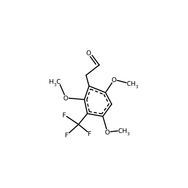 COc1cc(OC)c(C(F)(F)F)c(OC)c1CC=O